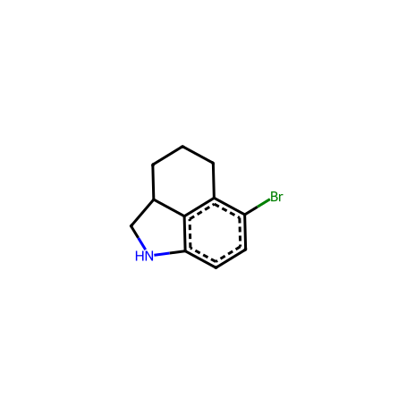 Brc1ccc2c3c1CCCC3CN2